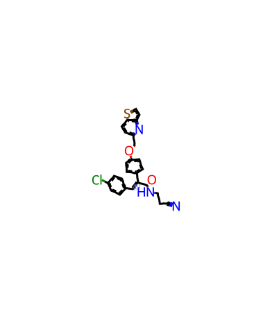 N#CCCNC(=O)/C(=C/c1ccc(Cl)cc1)c1ccc(OCc2ccc3sccc3n2)cc1